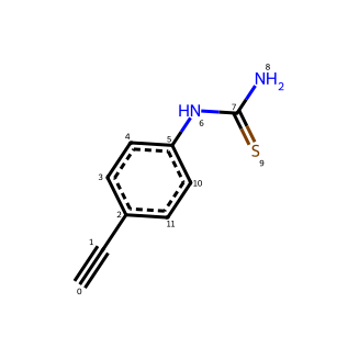 C#Cc1ccc(NC(N)=S)cc1